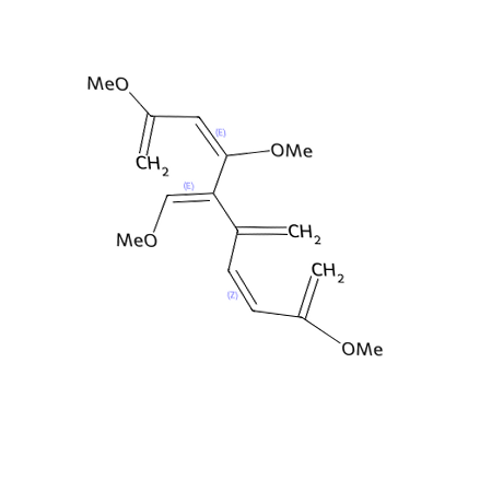 C=C(/C=C\C(=C)C(=C\OC)/C(=C\C(=C)OC)OC)OC